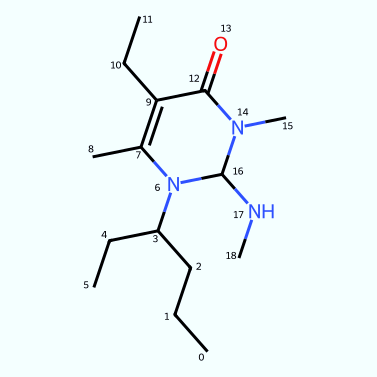 CCCC(CC)N1C(C)=C(CC)C(=O)N(C)C1NC